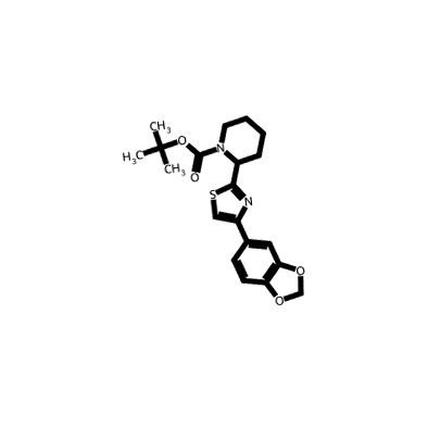 CC(C)(C)OC(=O)N1CCCCC1c1nc(-c2ccc3c(c2)OCO3)cs1